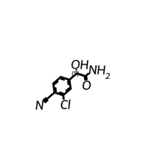 N#Cc1ccc([C@H](O)C(N)=O)cc1Cl